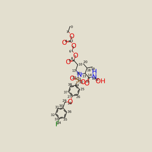 CCOC(=O)OCOC(=O)CCN(C(C(=O)NO)C(C)C)S(=O)(=O)c1ccc(OCc2ccc(F)cc2)cc1